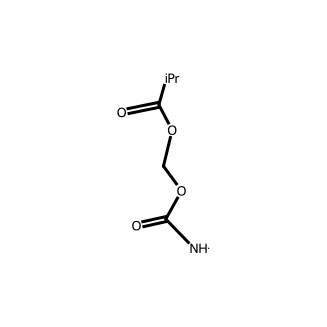 CC(C)C(=O)OCOC([NH])=O